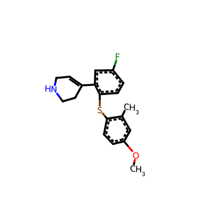 COc1ccc(Sc2ccc(F)cc2C2=CCNCC2)c(C)c1